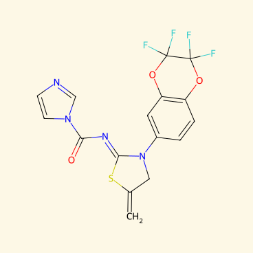 C=C1CN(c2ccc3c(c2)OC(F)(F)C(F)(F)O3)C(=NC(=O)n2ccnc2)S1